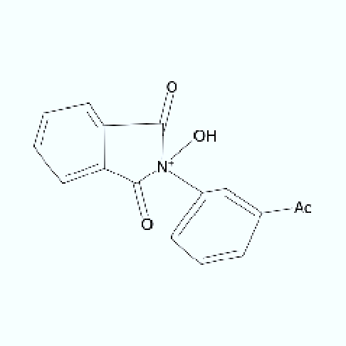 CC(=O)c1cccc([N+]2(O)C(=O)c3ccccc3C2=O)c1